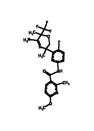 COc1ccc(C(=O)Nc2ccc(F)c(C3(C)COC(C)(C(F)(F)F)C(N)=N3)c2)c(C)n1